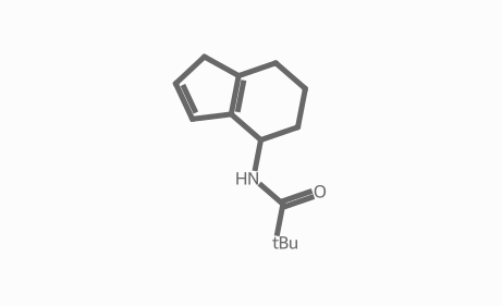 CC(C)(C)C(=O)NC1CCCC2=C1C=CC2